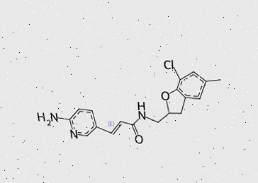 Cc1cc(Cl)c2c(c1)CC(CNC(=O)/C=C/c1ccc(N)nc1)O2